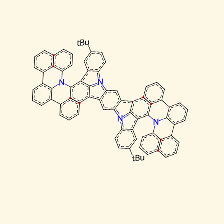 CC(C)(C)c1ccc2c(c1)c1c(N(c3ccccc3)c3c(-c4ccccc4)cccc3-c3ccccc3)ccc3c4cc5c(cc4n2c31)c1ccc(N(c2ccccc2)c2c(-c3ccccc3)cccc2-c2ccccc2)c2c3cc(C(C)(C)C)ccc3n5c12